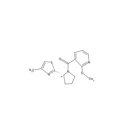 COc1ncccc1C(=O)N1CCC[C@@H]1c1nc(C)cs1